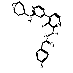 O=C(Cc1ccc(Cl)cc1)NNc1nccc(-c2ccnc(NC3CCOCC3)c2)c1F